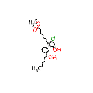 CCCCCC(O)c1cccc([C@@H]2[C@@H](CC=CCCCC(=O)OC)[C@H](Cl)C[C@H]2O)c1